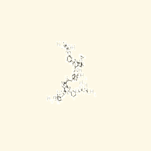 CNCC(O)COc1cccc(-c2nc(NCc3ccn(C)n3)c3cnn(C4CC4Cc4cc(CNc5nc(-c6cccc(OCC(O)CN)c6)nc6c5cnn6C5CC5)n(C)n4)c3n2)c1